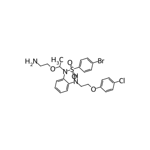 CC(OCCN)N(c1ccccc1NCCOc1ccc(Cl)cc1)S(=O)(=O)c1ccc(Br)cc1